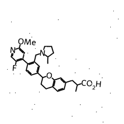 COc1cc(-c2ccc(C3CCc4ccc(CC(C)C(=O)O)cc4O3)cc2CN2CCCC2C)c(F)cn1